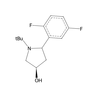 CC(C)(C)N1C[C@H](O)CC1c1cc(F)ccc1F